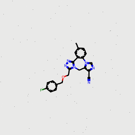 Cc1ccc2c(c1)-c1nnc(COCc3ccc(F)cc3)n1Cc1c(C#N)ncn1-2